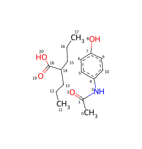 CC(=O)Nc1ccc(O)cc1.CCCC(CCC)C(=O)O